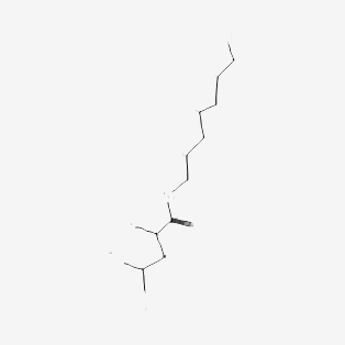 CCCCCCCCNC(=O)C(N)CC(C)C.Cl